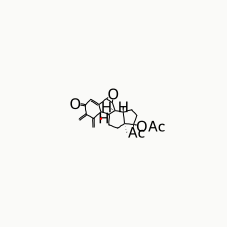 C=C1C(=C)[C@@]2(C)C(=CC1=O)C1OC1[C@@H]1[C@@H]2CC[C@@]2(C)[C@H]1CC[C@]2(OC(C)=O)C(C)=O